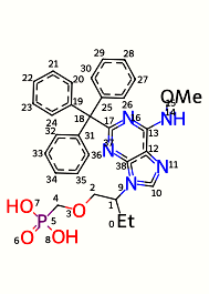 CCC(COCP(=O)(O)O)n1cnc2c(NOC)nc(C(c3ccccc3)(c3ccccc3)c3ccccc3)nc21